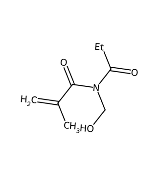 C=C(C)C(=O)N(CO)C(=O)CC